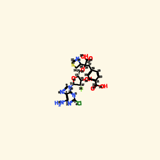 Nc1nc(Cl)nc2c1ncn2[C@@H]1O[C@H](COC(Cc2ccc(C(=O)O)cc2)(C(=O)O)C2CSC=N2)[C@@H](O)[C@@H]1F